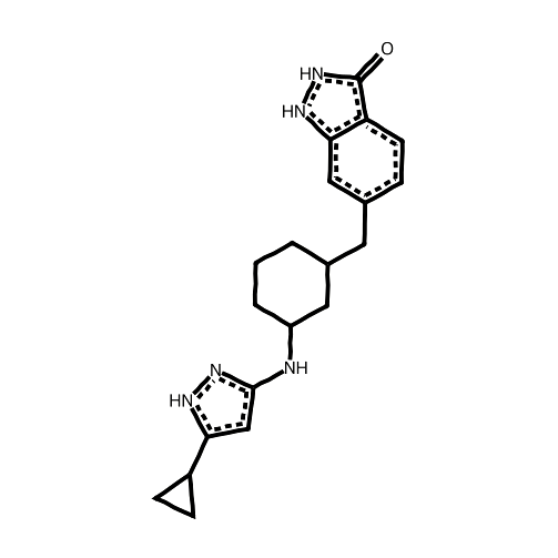 O=c1[nH][nH]c2cc(CC3CCCC(Nc4cc(C5CC5)[nH]n4)C3)ccc12